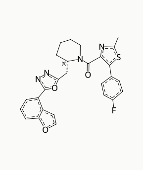 Cc1nc(C(=O)N2CCCC[C@H]2Cc2nnc(-c3cccc4occc34)o2)c(-c2ccc(F)cc2)s1